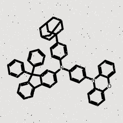 c1ccc(C2(c3ccccc3)c3ccccc3-c3ccc(N(c4ccc(N5c6ccccc6Oc6ccccc65)cc4)c4ccc(C56CC7CC(CC(C7)C5)C6)cc4)cc32)cc1